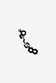 O=C1CCCc2c1ccn2CCN1CCN(c2ccc3ccccc3c2)CC1